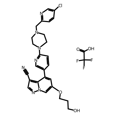 N#Cc1cnn2cc(OCCCO)cc(-c3ccc(N4CCN(Cc5ccc(Cl)cn5)CC4)nc3)c12.O=C(O)C(F)(F)F